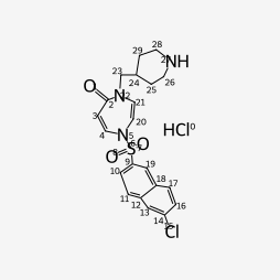 Cl.O=C1C=CN(S(=O)(=O)c2ccc3cc(Cl)ccc3c2)C=CN1CC1CCNCC1